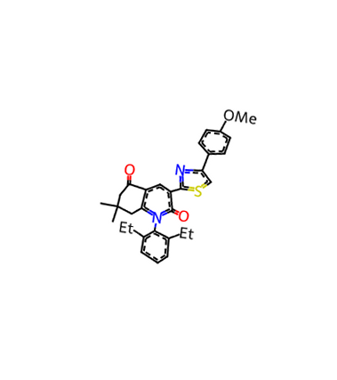 CCc1cccc(CC)c1-n1c2c(cc(-c3nc(-c4ccc(OC)cc4)cs3)c1=O)C(=O)CC(C)(C)C2